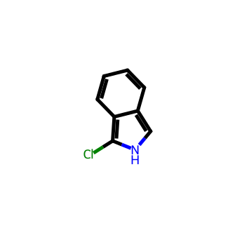 Clc1[nH]cc2ccccc12